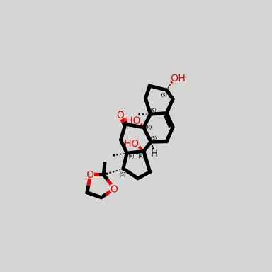 CC1([C@H]2CC[C@@]3(O)[C@@H]4CC=C5C[C@@H](O)CC[C@]5(C)[C@@]4(O)C(=O)C[C@]23C)OCCO1